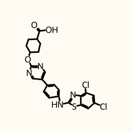 O=C(O)C1CCC(Oc2ncc(-c3ccc(Nc4nc5c(Cl)cc(Cl)cc5s4)cc3)cn2)CC1